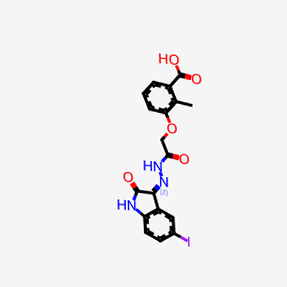 Cc1c(OCC(=O)N/N=C2\C(=O)Nc3ccc(I)cc32)cccc1C(=O)O